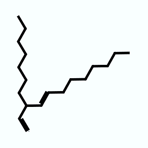 [CH]=CC(C=CCCCCCCC)CCCCCCC